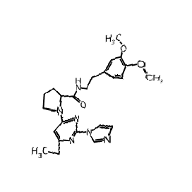 CCc1cc(N2CCCC2C(=O)NCCc2ccc(OC)c(OC)c2)nc(-n2ccnc2)n1